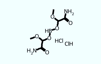 COC(OBOC(OC)C(N)=O)C(N)=O.Cl.Cl